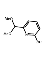 COC(OC)c1cccc(O)n1